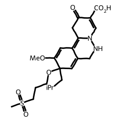 COC1=CC2=C3CC(=O)C(C(=O)O)=CN3NCC2=CC1(CC(C)C)OCCCS(C)(=O)=O